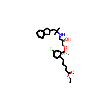 CCOC(=O)CCCCc1ccc(F)cc1[C@@H](C)OC[C@H](O)CNC(C)(C)CC1Cc2ccccc2C1